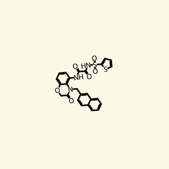 O=C(Nc1cccc2c1N(Cc1ccc3ccccc3c1)C(=O)CO2)C(=O)NS(=O)(=O)c1cccs1